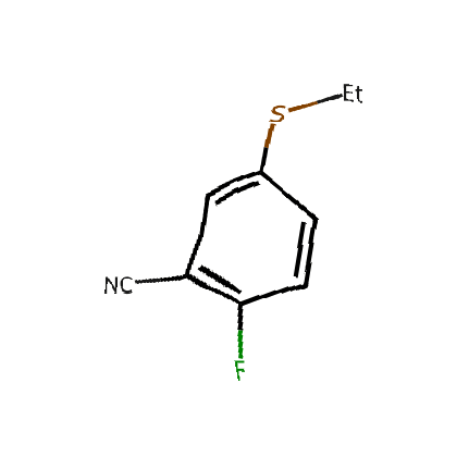 CCSc1ccc(F)c(C#N)c1